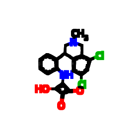 CN1Cc2c(Cl)cc(Cl)cc2C(c2ccccc2Nc2c(O)c(=O)c2=O)C1